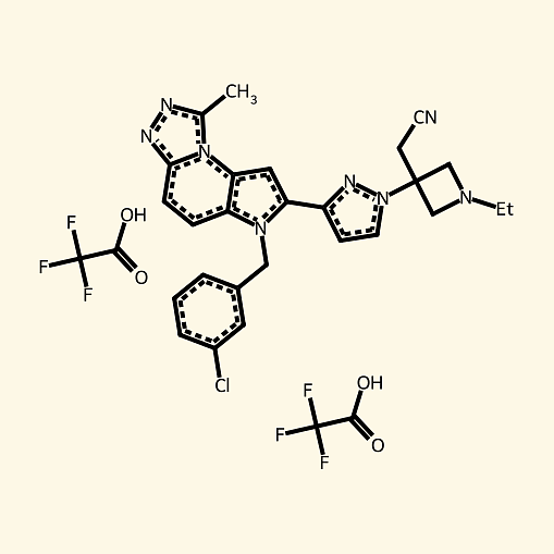 CCN1CC(CC#N)(n2ccc(-c3cc4c(ccc5nnc(C)n54)n3Cc3cccc(Cl)c3)n2)C1.O=C(O)C(F)(F)F.O=C(O)C(F)(F)F